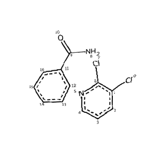 Clc1cccnc1Cl.NC(=O)c1ccccc1